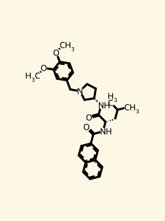 COc1ccc(CN2CC[C@H](NC(=O)[C@H](CC(C)C)NC(=O)c3ccc4ccccc4c3)C2)cc1OC